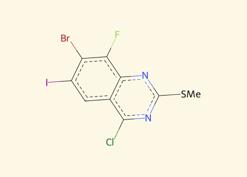 CSc1nc(Cl)c2cc(I)c(Br)c(F)c2n1